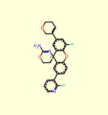 NC1=N[C@@]2(CCO1)c1cc(-c3cccnc3F)ccc1Oc1c(F)cc(C3=CCCOC3)cc12